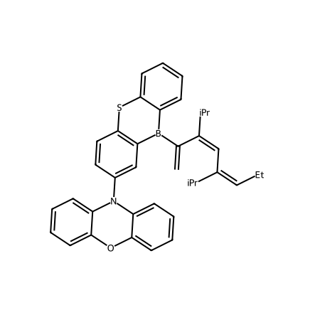 C=C(B1c2ccccc2Sc2ccc(N3c4ccccc4Oc4ccccc43)cc21)/C(=C\C(=C/CC)C(C)C)C(C)C